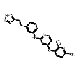 Cc1ccc(Oc2ccnc(Nc3cccc(CCc4nn[nH]n4)c3)c2)c(C(F)(F)F)n1